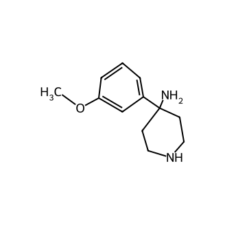 COc1cccc(C2(N)CCNCC2)c1